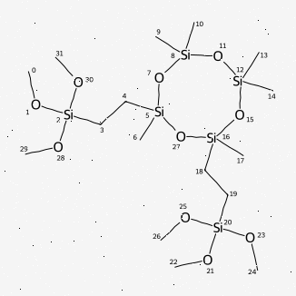 CO[Si](CC[Si]1(C)O[Si](C)(C)O[Si](C)(C)O[Si](C)(CC[Si](OC)(OC)OC)O1)(OC)OC